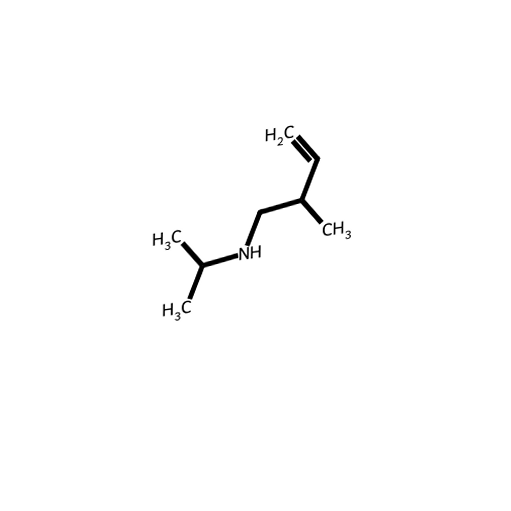 C=CC(C)CNC(C)C